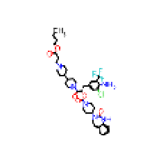 CCCCOC(=O)CCN1CCC(C2CCN(C(=O)[C@@H](Cc3cc(Cl)c(N)c(C(F)(F)F)c3)OC(=O)N3CCC(N4CCc5ccccc5NC4=O)CC3)CC2)CC1